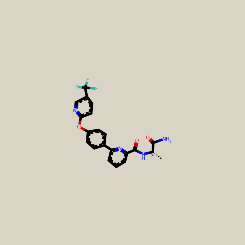 C[C@H](NC(=O)c1cccc(-c2ccc(Oc3ccc(C(F)(F)F)cn3)cc2)n1)C(N)=O